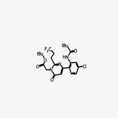 CC(C)(C)OC(=O)Cn1c(CCC(F)(F)F)nc(-c2ccc(Cl)cc2NC(=O)C(C)(C)C)cc1=O